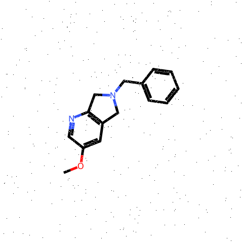 COc1cnc2c(c1)CN(Cc1ccccc1)C2